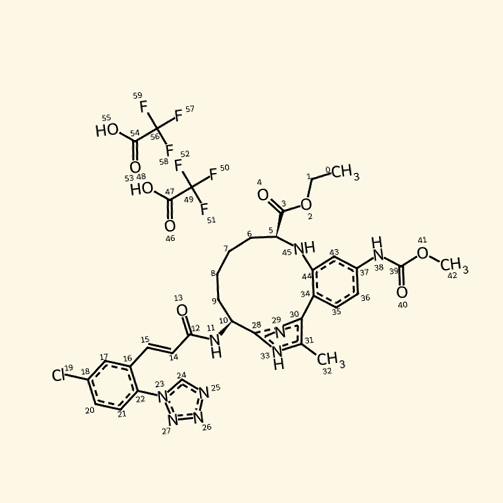 CCOC(=O)[C@@H]1CCCC[C@H](NC(=O)/C=C/c2cc(Cl)ccc2-n2cnnn2)c2nc(c(C)[nH]2)-c2ccc(NC(=O)OC)cc2N1.O=C(O)C(F)(F)F.O=C(O)C(F)(F)F